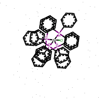 [Cl][Au]([PH](c1ccccc1)(c1ccccc1)c1ccccc1)([PH](c1ccccc1)(c1ccccc1)c1ccccc1)([PH](c1ccccc1)(c1ccccc1)c1ccccc1)[PH](c1ccccc1)(c1ccccc1)c1ccccc1